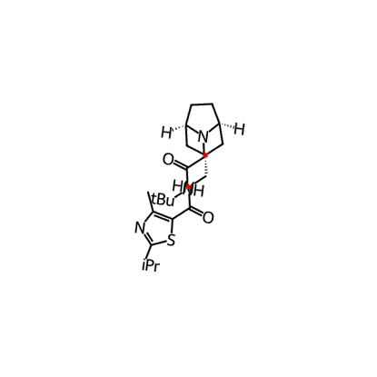 Cc1nc(C(C)C)sc1C(=O)NC[C@@H]1C[C@H]2CC[C@@H](C1)N2CC(=O)NC(C)(C)C